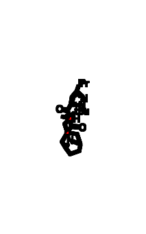 CC(C)c1cc(C(=O)NCC2CC3CCC(C2)N3CC(=O)N(C)C(C)(C)C)n(C)n1